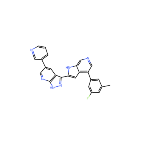 Cc1cc(F)cc(-c2cncc3[nH]c(-c4n[nH]c5ncc(-c6cccnc6)cc45)cc23)c1